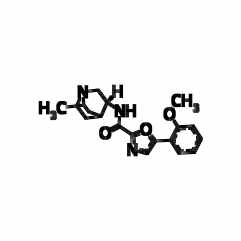 COc1ccccc1-c1cnc(C(=O)N[C@H]2CN3CCC2CC3C)o1